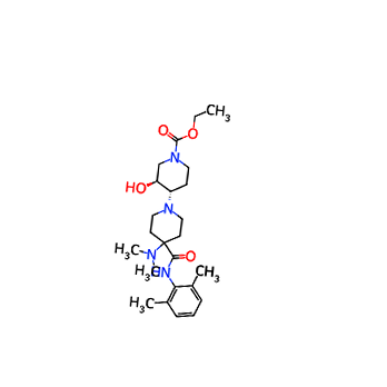 CCOC(=O)N1CC[C@H](N2CCC(C(=O)Nc3c(C)cccc3C)(N(C)C)CC2)[C@@H](O)C1